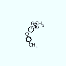 Cc1ccc(OC2CCN(S(C)(=O)=O)CC2)cc1